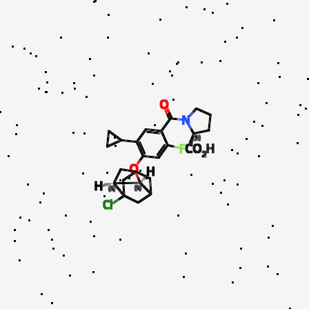 O=C(O)[C@@H]1CCCN1C(=O)c1cc(C2CC2)c(O[C@H]2C3CC4C[C@@H]2C(Cl)(C4)C3)cc1F